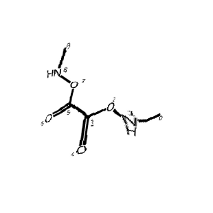 CNOC(=O)C(=O)ONC